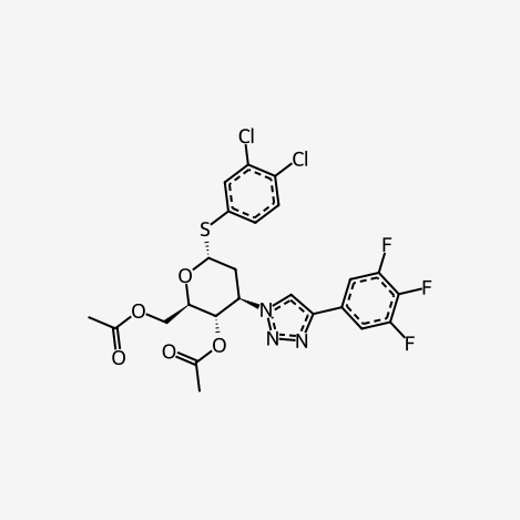 CC(=O)OC[C@H]1O[C@H](Sc2ccc(Cl)c(Cl)c2)C[C@@H](n2cc(-c3cc(F)c(F)c(F)c3)nn2)[C@@H]1OC(C)=O